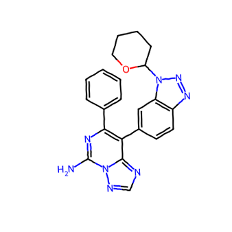 Nc1nc(-c2ccccc2)c(-c2ccc3nnn(C4CCCCO4)c3c2)c2ncnn12